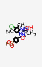 Cc1c(N[C@H]([C@H](C)O)N2COC(c3ccc([SH](=O)=O)cc3)=N2)ccc(C#N)c1Cl